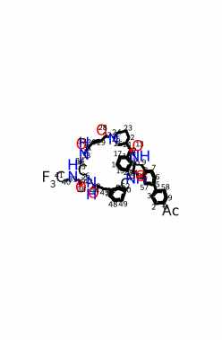 CC(=O)c1ccc(-c2ccc(C[C@@H]3NC(=O)[C@]4(Cc5ccccc5)CCCN(C4)C(=O)/C=C/C(=O)NCC[C@@H](C(=O)NCC(F)(F)F)NC(=O)Cc4ccccc4CNC3=O)cc2)cc1